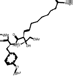 CCCCCCCC(=O)CCCCCCC=C[C@H](C(=O)N[C@@H](Cc1ccc(OCCCC)cc1)C(=O)NC)[C@@](O)(COC)C(=O)O